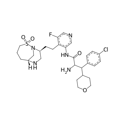 NC(C(=O)Nc1cncc(F)c1CC[C@H]1CN[C@@H]2CCCS(=O)(=O)N1C2)C(c1ccc(Cl)cc1)C1CCOCC1